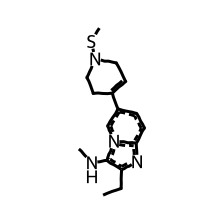 CCc1nc2ccc(C3=CCN(SC)CC3)cn2c1NC